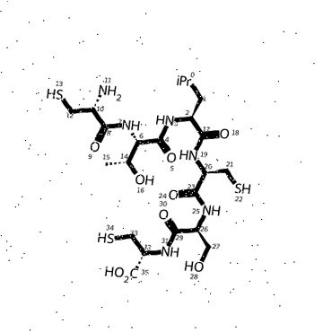 CC(C)C[C@H](NC(=O)[C@@H](NC(=O)[C@@H](N)CS)[C@@H](C)O)C(=O)N[C@@H](CS)C(=O)N[C@@H](CO)C(=O)N[C@@H](CS)C(=O)O